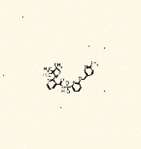 CC1CCN(c2ncccc2C(=O)NS(=O)(=O)c2cccc(OCc3ccc(C(F)(F)F)nc3)n2)C1(C)C